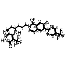 N#CCC(CCCn1ccc2cc(-c3ncc(C(F)(F)F)cn3)c(F)cc2c1=O)Nc1cn[nH]c(=O)c1C(F)(F)F